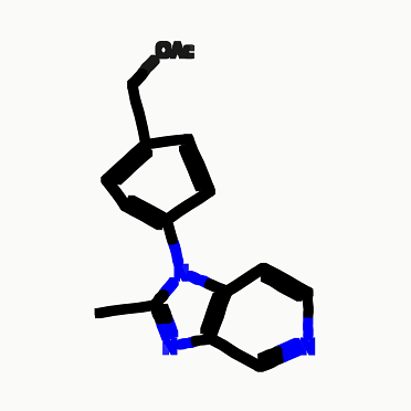 CC(=O)OCc1ccc(-n2c(C)nc3cnccc32)cc1